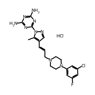 Cc1c(/C=C/CN2CCN(c3cc(F)cc(Cl)c3)CC2)cnn1-c1nc(N)nc(N)n1.Cl